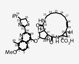 COc1ccc2c(O[C@H]3C[C@H]4C(=O)NCCCCC/C=C\[C@@H]5C[C@@]5(C(=O)O)NC(=O)[C@@H]4C3)cc(C3=NC(C(C)C)CS3)nc2c1C